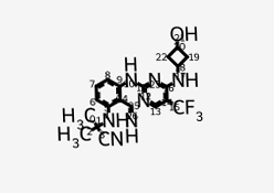 CC(C)(C#N)Nc1cccc(Nc2ncc(C(F)(F)F)c(NC3CC(O)C3)n2)c1C=N